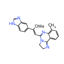 CO/C(=C\C1=Nc2c(C)cccc2C2=NCCN12)c1ccc2[nH]cnc2c1